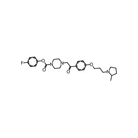 CC1CCCN1CCCOc1ccc(C(=O)CN2CCN(C(=O)Oc3ccc(F)cc3)CC2)cc1